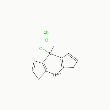 C[Si]1(Cl)C2=[C](CC=C2)[Hf+2][C]2=C1C=CC2.[Cl-].[Cl-]